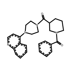 O=C(c1ccccc1)N1CCCC(C(=O)N2CCN(c3ccnc4ccccc34)CC2)C1